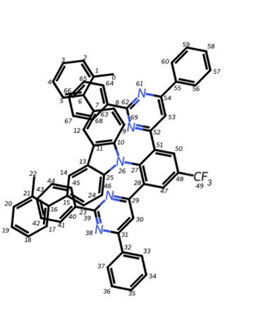 Cc1ccccc1-c1ccc2c(c1)c1cc(-c3ccccc3C)ccc1n2-c1c(-c2cc(-c3ccccc3)nc(-c3ccccc3)n2)cc(C(F)(F)F)cc1-c1cc(-c2ccccc2)nc(-c2ccccc2)n1